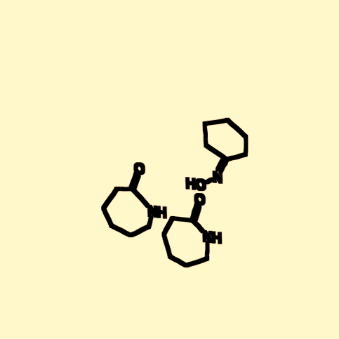 O=C1CCCCCN1.O=C1CCCCCN1.ON=C1CCCCC1